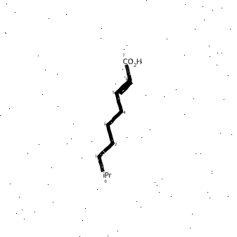 CC(C)CCCCC=CC(=O)O